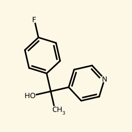 CC(O)(c1ccncc1)c1ccc(F)cc1